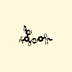 CCCNC(=O)c1ccc(N2CCN(C(=O)c3cc(-c4cncc(OCC)c4)cc(C(F)(F)F)c3)CC2)cc1